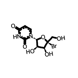 O=c1ccn([C@@H]2O[C@](Br)(CO)[C@@H](O)[C@H]2O)c(=O)[nH]1